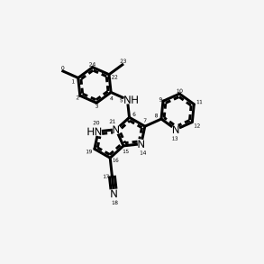 Cc1ccc(Nc2c(-c3ccccn3)nc3c(C#N)c[nH]n23)c(C)c1